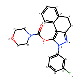 O=C(Oc1c2c(nn1-c1cccc(Cl)c1)CCc1ccccc1-2)N1CCOCC1